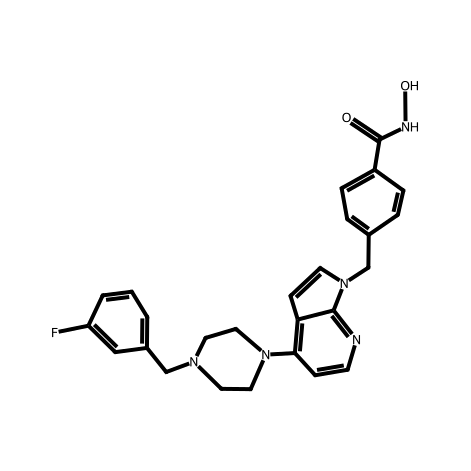 O=C(NO)c1ccc(Cn2ccc3c(N4CCN(Cc5cccc(F)c5)CC4)ccnc32)cc1